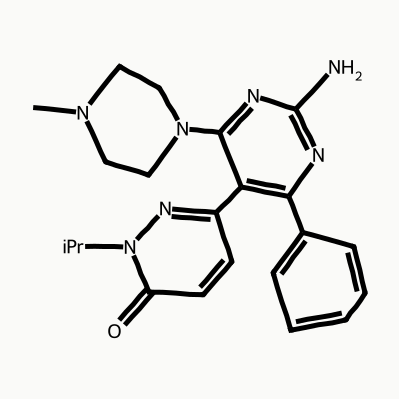 CC(C)n1nc(-c2c(-c3ccccc3)nc(N)nc2N2CCN(C)CC2)ccc1=O